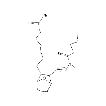 CCCCC(=O)N(C)/N=C/C1C2CCC(O2)C1CCCCCCC(=O)O